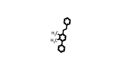 Cc1c(CCc2ccccc2)ccc(-c2ccccc2)c1C